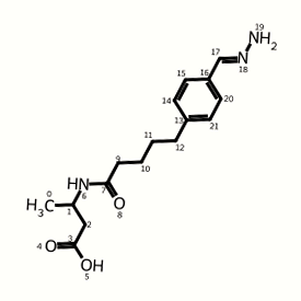 CC(CC(=O)O)NC(=O)CCCCc1ccc(C=NN)cc1